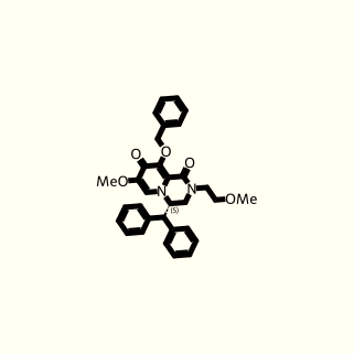 COCCN1C[C@H](C(c2ccccc2)c2ccccc2)n2cc(OC)c(=O)c(OCc3ccccc3)c2C1=O